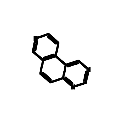 c1cc2c(ccc3ncncc32)cn1